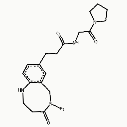 CCN1Cc2cc(CCC(=O)NCC(=O)N3CCCC3)ccc2NCCC1=O